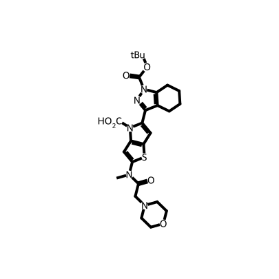 CN(C(=O)CN1CCOCC1)c1cc2c(cc(-c3nn(C(=O)OC(C)(C)C)c4c3CCCC4)n2C(=O)O)s1